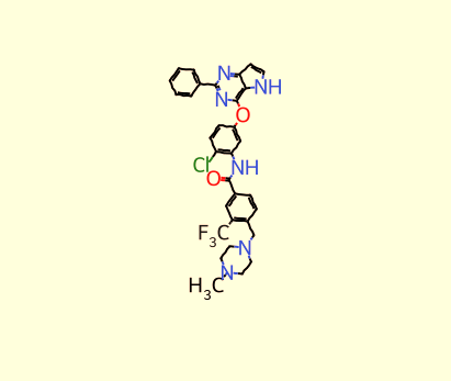 CN1CCN(Cc2ccc(C(=O)Nc3cc(Oc4nc(-c5ccccc5)nc5cc[nH]c45)ccc3Cl)cc2C(F)(F)F)CC1